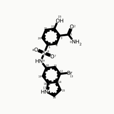 NC(=O)c1cc(S(=O)(=O)Nc2cc(Br)c3cc[nH]c3c2)ccc1O